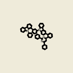 c1ccc(-c2cc(-c3ccccc3-c3ccc4c(c3)c3ccccc3n4-c3cccc(-c4cccc5c6ccccc6n(-c6ccccc6)c45)c3)nc(-c3ccccc3)n2)cc1